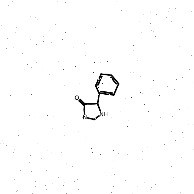 O=C1[N]CNC1c1ccccc1